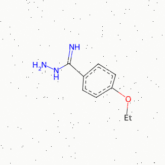 CCOc1ccc(C(=N)NN)cc1